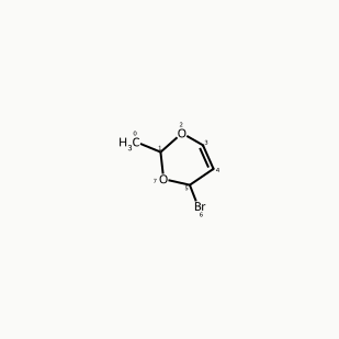 CC1OC=CC(Br)O1